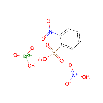 O=[N+]([O-])O.O=[N+]([O-])c1ccccc1S(=O)(=O)O.[O-][Br+2]([O-])O